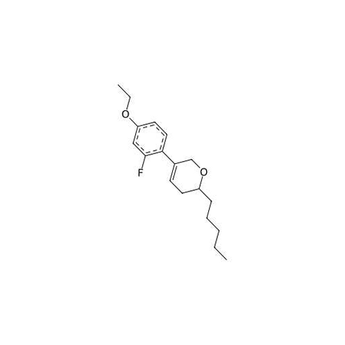 CCCCCC1CC=C(c2ccc(OCC)cc2F)CO1